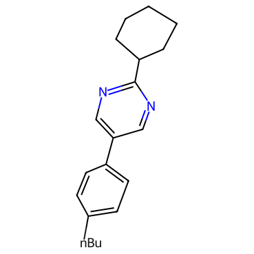 CCCCc1ccc(-c2cnc(C3CCCCC3)nc2)cc1